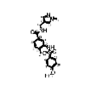 CCOc1ccc(S(=O)(=O)Nc2cc(C(=O)NCc3cnn(C)c3)ccc2C)cc1